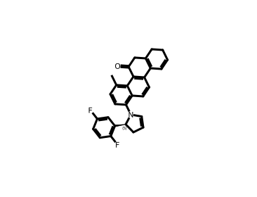 Cc1ccc(N2C=CC[C@H]2c2cc(F)ccc2F)c2ccc3c(c12)C(=O)CC1=C3C=CCC1